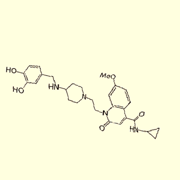 COc1ccc2c(C(=O)NC3CC3)cc(=O)n(CCN3CCC(NCc4ccc(O)c(O)c4)CC3)c2c1